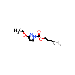 C=COc1ccn(C(=O)OCCCC)n1